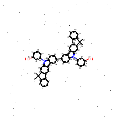 CC1(C)c2ccccc2-c2cc3c4cc(-c5ccc6c(c5)c5cc7c(cc5n6-c5cccc(O)c5)C(C)(C)c5ccccc5-7)ccc4n(-c4cccc(O)c4)c3cc21